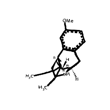 COc1ccc2c(c1)[C@]13CCN[C@H](C2)[C@@H]1CC(C)(C)OC3